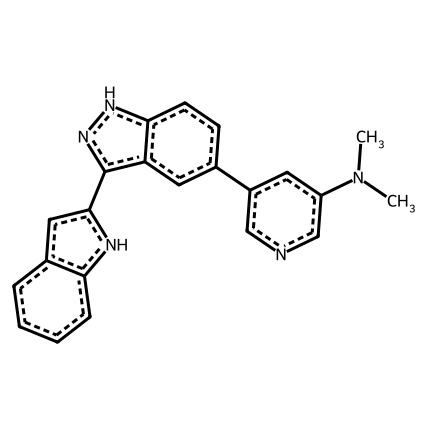 CN(C)c1cncc(-c2ccc3[nH]nc(-c4cc5ccccc5[nH]4)c3c2)c1